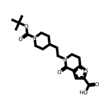 CC(C)(C)OC(=O)N1CCC(CCN2CCc3sc(C(=O)O)cc3C2=O)CC1